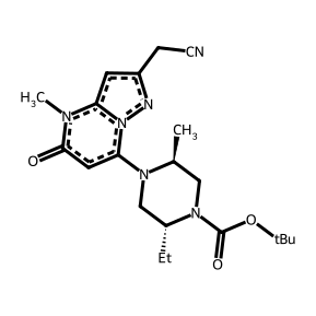 CC[C@@H]1CN(c2cc(=O)n(C)c3cc(CC#N)nn23)[C@@H](C)CN1C(=O)OC(C)(C)C